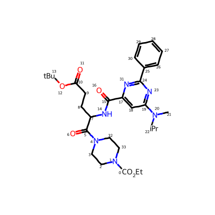 CCOC(=O)N1CCN(C(=O)C(CCC(=O)OC(C)(C)C)NC(=O)c2cc(N(C)C(C)C)nc(-c3ccccc3)n2)CC1